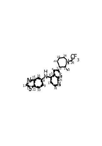 C[C@H]1[C@H](c2cc3c(Nc4ccc5scnc5c4)ccnc3s2)CCCN1CC(F)(F)F